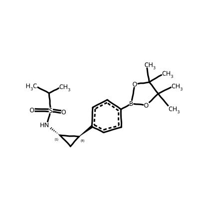 CC(C)S(=O)(=O)N[C@H]1C[C@@H]1c1ccc(B2OC(C)(C)C(C)(C)O2)cc1